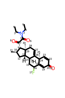 CCN(CC)C(=O)C(=O)[C@H]1[C@H](C)C[C@H]2[C@@H]3C[C@H](F)C4=CC(=O)C=C[C@]4(C)C3=CC[C@@]21C